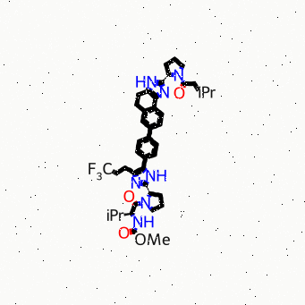 COC(=O)N[C@H](C(=O)N1CCC[C@H]1c1nc(CCC(F)(F)F)c(-c2ccc(-c3ccc4c(c3)CCc3[nH]c([C@@H]5CCCN5C(=O)CC(C)C)nc3-4)cc2)[nH]1)C(C)C